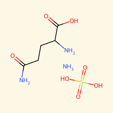 N.NC(=O)CCC(N)C(=O)O.O=S(=O)(O)O